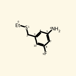 CCSCc1cc(N)cc(F)c1